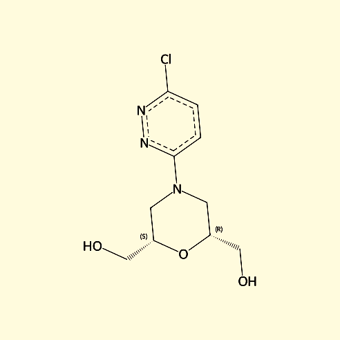 OC[C@@H]1CN(c2ccc(Cl)nn2)C[C@H](CO)O1